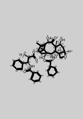 CC(=O)O[C@H]1C(=O)[C@@]2(C)[C@H]([C@H](OC(=O)c3ccccc3)[C@]3(O)C[C@H](OC(=O)[C@H](N)[C@@H](NC(=O)c4ccccc4)c4ccccc4)C(C)=C1C3(C)C)[C@]1(OC(C)=O)CO[C@@H]1C[C@@H]2O